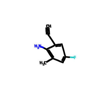 C#Cc1cc(F)cc(C)c1N